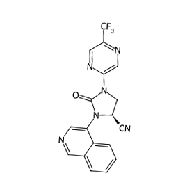 N#C[C@@H]1CN(c2cnc(C(F)(F)F)cn2)C(=O)N1c1cncc2ccccc12